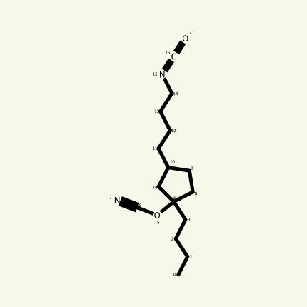 CCCCC1(OC#N)CCC(CCCCN=C=O)C1